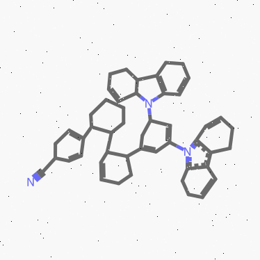 N#CC1C=CC(C2CCCCC2C2C=CCCC2C2=CC(n3c4c(c5c3CCC=C5)CCC=C4)=CC(N3C4=C(CCC=C4)C4CCC=CC43)C2)=CC1